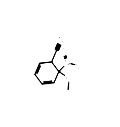 COC1([N+](=O)[O-])C=CC=CC1C#N